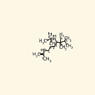 C=C(C)NCCCC(NC(C)(C)C)C(C)(C)C(C)C